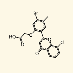 Cc1cc(-c2cc(=O)c3cccc(Cl)c3o2)c(OCC(=O)O)cc1Br